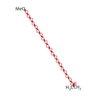 C=C(C)C(=O)OCCOCCOCCOCCOCCOCCOCCOCCOCCOCCOCCOCCOCCOCCOCCOCCOCCOCCOCCOCCOC